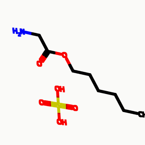 CCCCCCOC(=O)CN.O=S(=O)(O)O